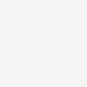 [CH2]CCCCC[CH]OC(=O)C=C